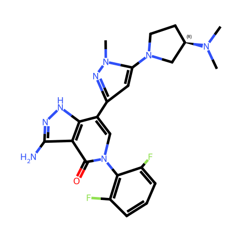 CN(C)[C@@H]1CCN(c2cc(-c3cn(-c4c(F)cccc4F)c(=O)c4c(N)n[nH]c34)nn2C)C1